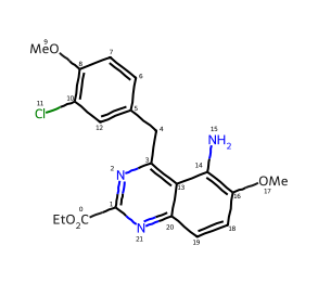 CCOC(=O)c1nc(Cc2ccc(OC)c(Cl)c2)c2c(N)c(OC)ccc2n1